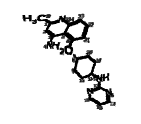 Cc1cc(N)c2c(O[C@H]3CC[C@H](Nc4ncccn4)CC3)cccc2n1